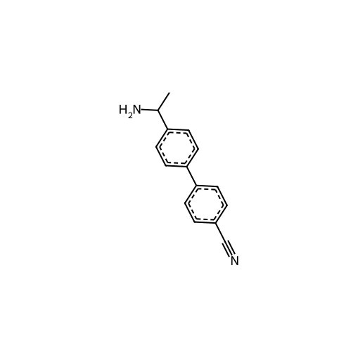 CC(N)c1ccc(-c2ccc(C#N)cc2)cc1